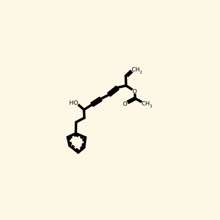 C=CC(C#CC#CC(O)CCc1ccccc1)OC(C)=O